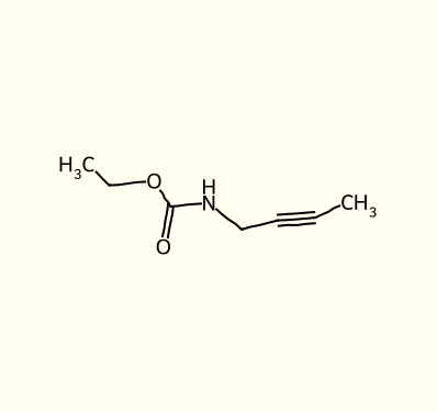 CC#CCNC(=O)OCC